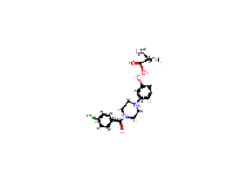 CC(C)C(=O)OOc1cccc(N2CCN(C(=O)c3ccc(F)cc3)CC2)c1